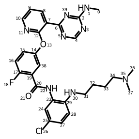 CNc1ncnc(-c2cccnc2Oc2ccc(F)c(C(=O)Nc3cc(Cl)ccc3NCCCCN(C)C)c2)n1